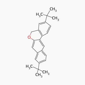 CC(C)(C)c1ccc2c(c1)COc1cc3cc(C(C)(C)C)ccc3cc1-2